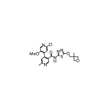 COc1cnc(Cl)cc1-c1cc(C)ncc1C(=O)Nc1nnc(OCC2(C)COC2)s1